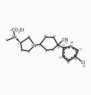 CCOC(=O)N(C)[C@@H]1CCN(C2CCC(C#N)(c3ccc(Cl)cn3)CC2)C1